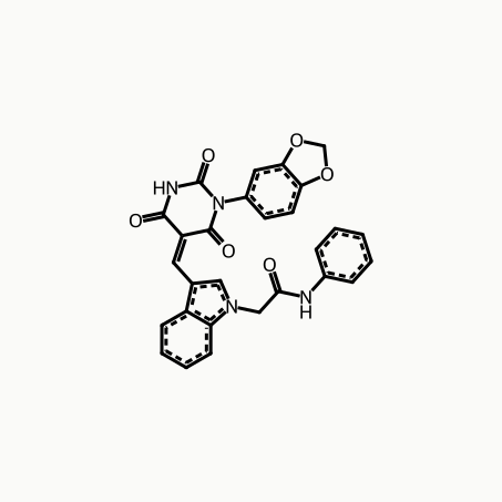 O=C(Cn1cc(/C=C2/C(=O)NC(=O)N(c3ccc4c(c3)OCO4)C2=O)c2ccccc21)Nc1ccccc1